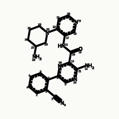 N#Cc1ccccc1-c1cnc(N)c(C(=O)Nc2cnccc2N2CCCC(N)C2)n1